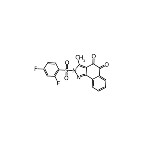 Cc1c2c(nn1S(=O)(=O)c1ccc(F)cc1F)-c1ccccc1C(=O)C2=O